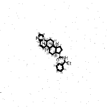 CC[C@H](NC(=O)[C@@H]1CC[C@H]2[C@@H]3CCC4[C@H](C=Cc5nccn54)[C@H]3CC[C@@H]21)c1ccccc1